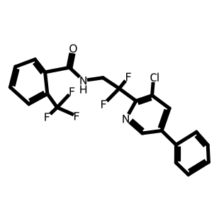 O=C(NCC(F)(F)c1ncc(-c2ccccc2)cc1Cl)c1ccccc1C(F)(F)F